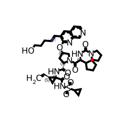 C=C[C@@H]1C[C@]1(NC(=O)[C@@H]1C[C@@H](Oc2nc3cnccc3cc2/C=C/CCCO)CN1C(=O)[C@@H](NC(=O)N1CCCC1)C1CCCC1)C(=O)NS(=O)(=O)C1CC1